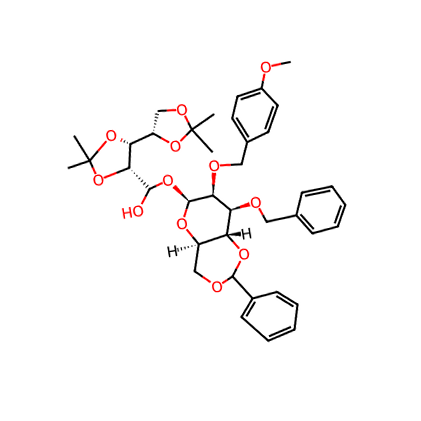 COc1ccc(CO[C@@H]2[C@H](OC(O)[C@@H]3OC(C)(C)O[C@@H]3[C@@H]3COC(C)(C)O3)O[C@@H]3COC(c4ccccc4)O[C@H]3[C@@H]2OCc2ccccc2)cc1